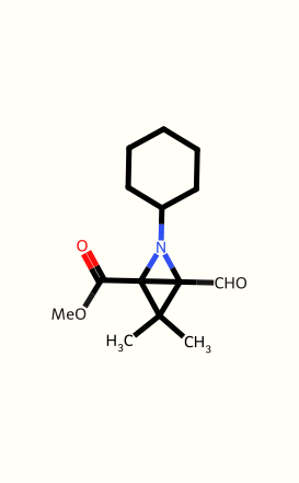 COC(=O)C12N(C3CCCCC3)C1(C=O)C2(C)C